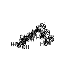 CC(=O)OC1CC(C)(C)N(O)C(C)(C)C1.CC(=O)OC1CC(C)(C)N(O)C(C)(C)C1.CC(=O)OC1CC(C)(C)N(O)C(C)(C)C1.CC(=O)OC1CC(C)(C)N(O)C(C)(C)C1.O=C(O)CN(CCN(CC(=O)O)CC(=O)O)CC(=O)O